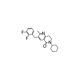 Cc1nc2c(cc1Cc1cccc(F)c1F)C(=O)N(C1CCCCC1)CC2